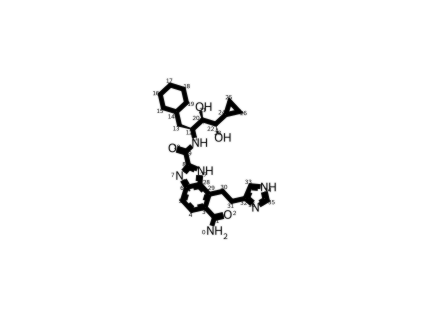 NC(=O)c1ccc2nc(C(=O)N[C@@H](CC3CCCCC3)[C@@H](O)[C@@H](O)C3CC3)[nH]c2c1CCc1c[nH]cn1